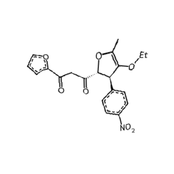 CCOC1=C(C)O[C@@H](C(=O)CC(=O)c2ccco2)[C@@H]1c1ccc([N+](=O)[O-])cc1